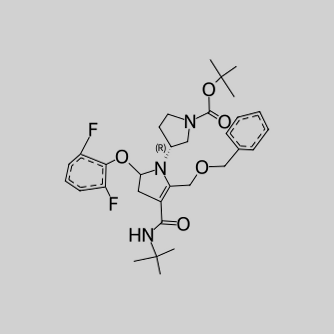 CC(C)(C)NC(=O)C1=C(COCc2ccccc2)N([C@@H]2CCN(C(=O)OC(C)(C)C)C2)C(Oc2c(F)cccc2F)C1